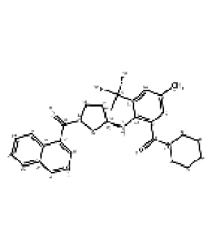 Cc1cc(C(=O)N2CCCCC2)c(N[C@@H]2CCN(C(=O)c3cncc4ccccc34)C2)c(C(F)(F)F)c1